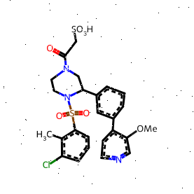 COc1cnccc1-c1cccc(C2CN(C(=O)CS(=O)(=O)O)CCN2S(=O)(=O)c2cccc(Cl)c2C)c1